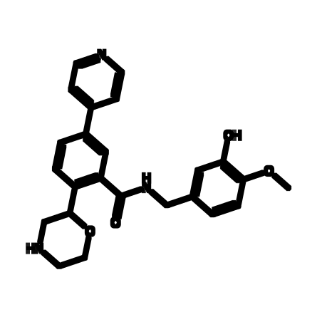 COc1ccc(CNC(=O)c2cc(-c3ccncc3)ccc2C2CNCCO2)cc1O